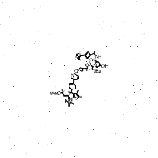 COC(=O)CC1N=C(c2ccc(-c3ccc(OC4CC(C(=O)NC(C(=O)N5C[C@H](O)CC5C(=O)NC(C)c5ccc(-c6scnc6C)cc5)C(C)(C)C)C4)nc3)cc2)c2c(sc(C)c2C)-n2c(C)nnc21